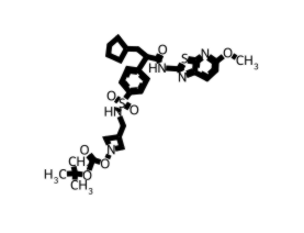 COc1ccc2nc(NC(=O)C(CC3CCCC3)c3ccc(S(=O)(=O)NCC4CN(OC(=O)OC(C)(C)C)C4)cc3)sc2n1